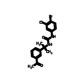 CC(=O)c1cccc(C(C)(C)NC(=O)Nc2ccc(Br)c(Cl)c2)c1